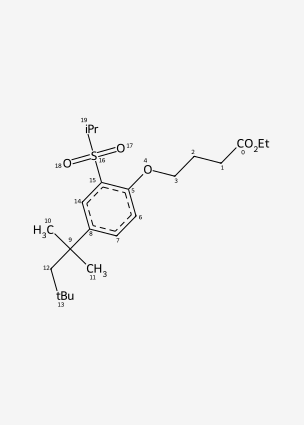 CCOC(=O)CCCOc1ccc(C(C)(C)CC(C)(C)C)cc1S(=O)(=O)C(C)C